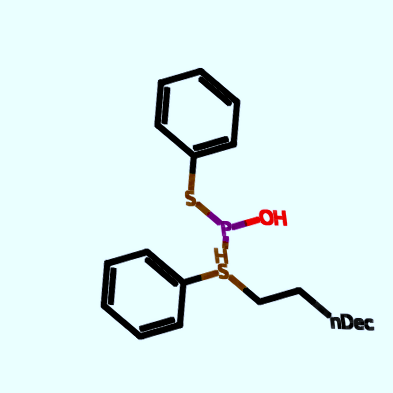 CCCCCCCCCCCC[SH](c1ccccc1)P(O)Sc1ccccc1